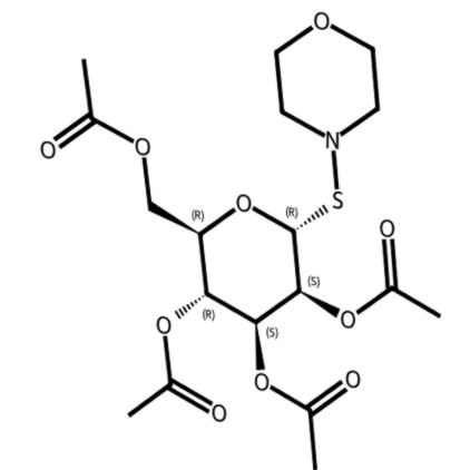 CC(=O)OC[C@H]1O[C@H](SN2CCOCC2)[C@@H](OC(C)=O)[C@@H](OC(C)=O)[C@@H]1OC(C)=O